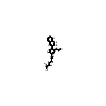 C=CCc1cc(C#CCCCC(C)F)ccc1-c1ccc2ccccc2c1